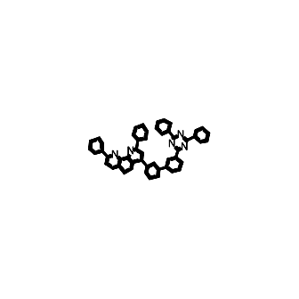 c1ccc(-c2ccc3ccc4c(-c5cccc(-c6cccc(-c7nc(-c8ccccc8)nc(-c8ccccc8)n7)c6)c5)cc(-c5ccccc5)nc4c3n2)cc1